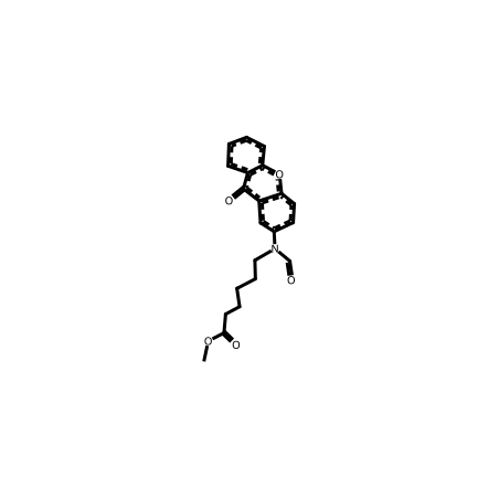 COC(=O)CCCCCN(C=O)c1ccc2oc3ccccc3c(=O)c2c1